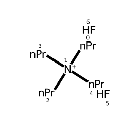 CCC[N+](CCC)(CCC)CCC.F.F